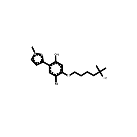 CCc1cc(-c2ccn(C)n2)c(O)cc1OCCCCC(C)(C)C#N